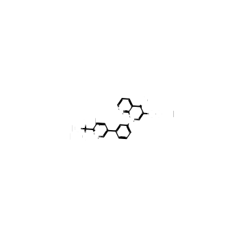 CC(C)(O)c1ccc(-c2cccc(-n3cc(C(=O)O)c(=O)c4cccnc43)c2)cn1